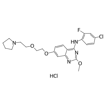 COc1nc(Nc2ccc(Cl)cc2F)c2ccc(OCCOCCN3CCCC3)cc2n1.Cl